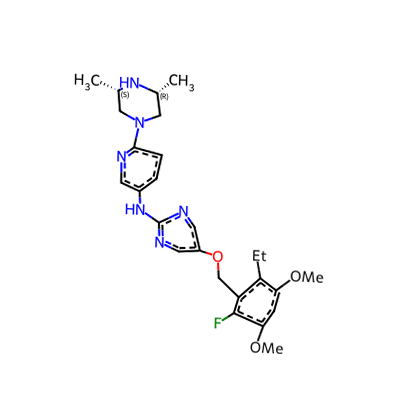 CCc1c(OC)cc(OC)c(F)c1COc1cnc(Nc2ccc(N3C[C@@H](C)N[C@@H](C)C3)nc2)nc1